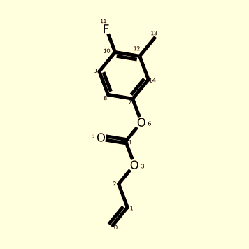 C=CCOC(=O)Oc1ccc(F)c(C)c1